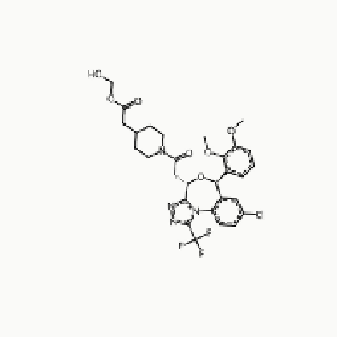 COc1cccc([C@@H]2O[C@@H](CC(=O)N3CCC(CC(=O)OCO)CC3)c3nnc(C(F)(F)F)n3-c3ccc(Cl)cc32)c1OC